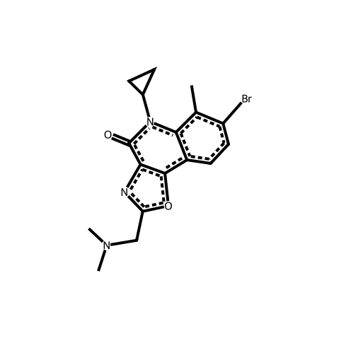 Cc1c(Br)ccc2c3oc(CN(C)C)nc3c(=O)n(C3CC3)c12